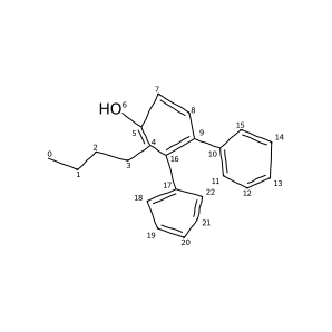 CCCCc1c(O)ccc(-c2ccccc2)c1-c1ccccc1